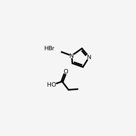 Br.CCC(=O)O.Cn1ccnc1